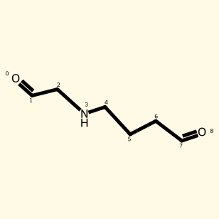 O=[C]CNCCCC=O